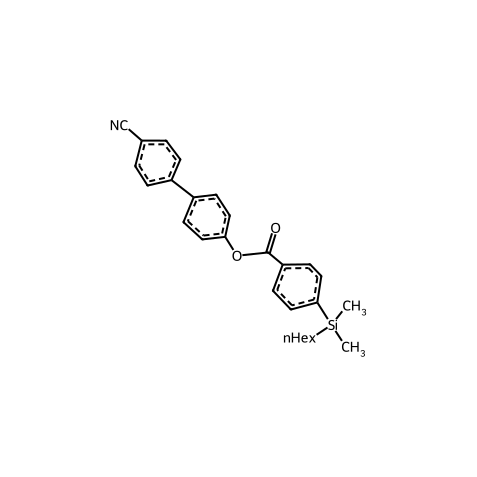 CCCCCC[Si](C)(C)c1ccc(C(=O)Oc2ccc(-c3ccc(C#N)cc3)cc2)cc1